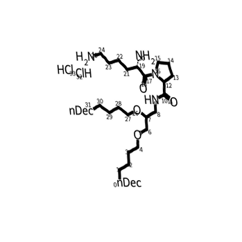 CCCCCCCCCCCCCCOCC(CNC(=O)C1CCCN1C(=O)[C@@H](N)CCCCN)OCCCCCCCCCCCCCC.Cl.Cl